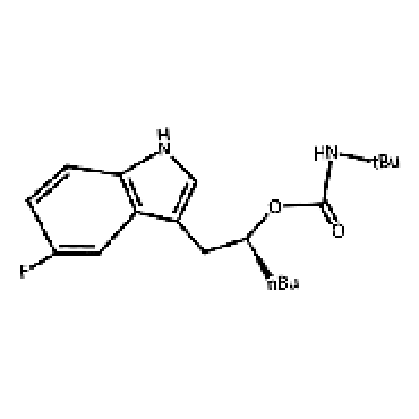 CCCC[C@@H](Cc1c[nH]c2ccc(F)cc12)OC(=O)NC(C)(C)C